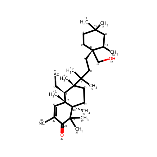 CC(=O)C[C@H]1[C@](C)(C(C)(C)CC[C@@]2(CO)CCC(C)(C)CC2C)CC[C@@]2(C)C(C)(C)C(=O)C(C#N)=C[C@]12C